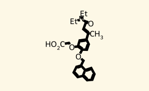 CCN(CC)C(=O)/C=C(\C)c1ccc(OCc2cccc3ccccc23)c(OCC(=O)O)c1